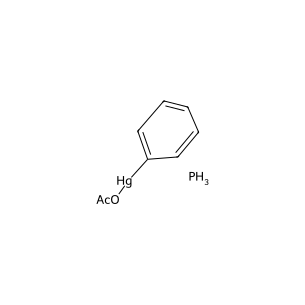 CC(=O)[O][Hg][c]1ccccc1.P